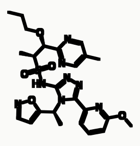 CCCO[C@@H](c1ncc(C)cn1)[C@H](C)S(=O)(=O)Nc1nnc(-c2cccc(OC)n2)n1[C@@H](C)c1ccno1